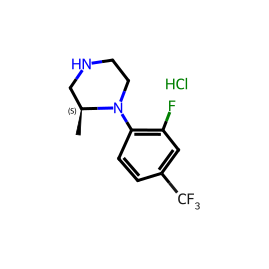 C[C@H]1CNCCN1c1ccc(C(F)(F)F)cc1F.Cl